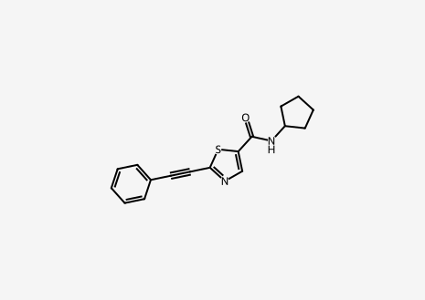 O=C(NC1CCCC1)c1cnc(C#Cc2ccccc2)s1